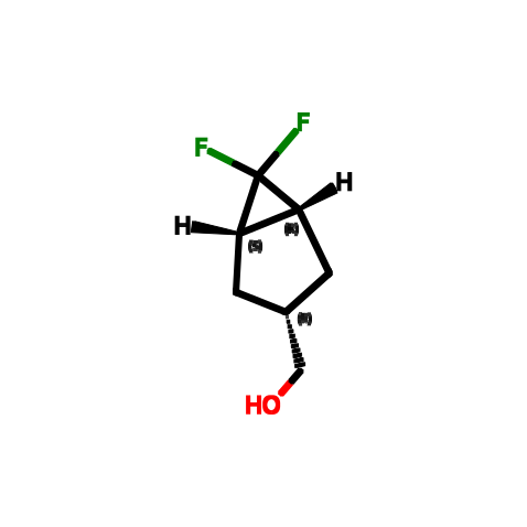 OC[C@H]1C[C@@H]2[C@H](C1)C2(F)F